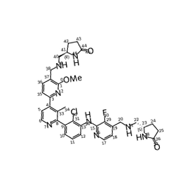 COc1nc(-c2ccnc(-c3cccc(Nc4nccc(CNC[C@@H]5CCC(=O)N5)c4F)c3Cl)c2C)ccc1CNC[C@H]1CCC(=O)N1